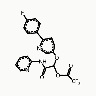 O=C(Nc1ccccn1)C(OC(=O)C(F)(F)F)Oc1ccc(-c2ccc(F)cc2)nc1